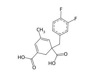 CC1=CC(Cc2ccc(F)c(F)c2)(C(=O)O)CC(C(=O)O)=C1